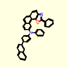 c1ccc(-c2nc3ccc4ccc5ccc(N(c6ccccc6)c6ccc(-c7ccc8ccccc8c7)cc6)cc5c4c3o2)cc1